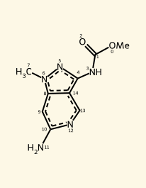 COC(=O)Nc1nn(C)c2cc(N)ncc12